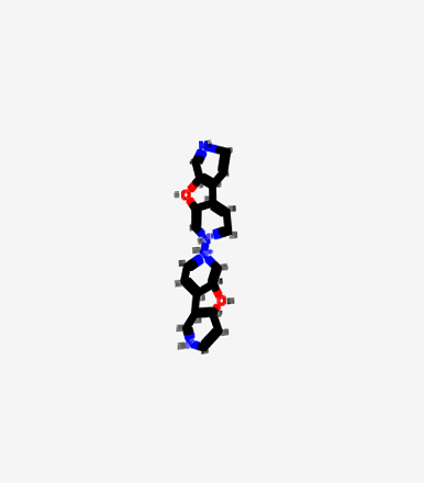 c1cc2c(cn1)oc1c[n+](-[n+]3ccc4c(c3)oc3ccncc34)ccc12